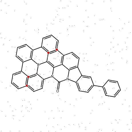 O=c1n2c3c(ccc4ccc5c6cc(-c7ccccc7)ccc6n1c5c43)B(c1c(-c3ccccc3)cccc1-c1ccccc1)c1ccccc1-2